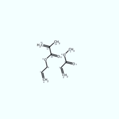 C=CC(=O)OC.C=CCOC(=O)C(=C)C